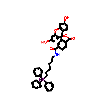 O=C(NCCCCCC[PH](c1ccccc1)(c1ccccc1)c1ccccc1)c1ccc2c(c1)C1(OC2=O)c2ccc(O)cc2Oc2cc(O)ccc21